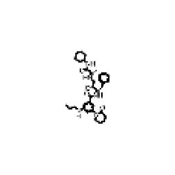 CCCNc1cc(C(=O)N[C@@H](Cc2ccccc2)[C@@H](O)CN[C@@H](C)C(=O)NC2CCCCC2)cc(N2CCCCC2=O)c1